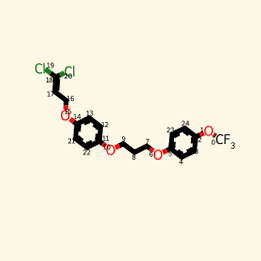 FC(F)(F)Oc1ccc(OCCCOc2ccc(OCC=C(Cl)Cl)cc2)cc1